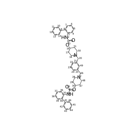 O=C(Nc1ccccc1-c1ccccc1)OC1CCN(Cc2cccc(CN3CCC(OC(=O)Nc4ccccc4-c4ccccc4)CC3)c2)CC1